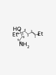 CC/C=C/CC[C@](O)(CC)CCN